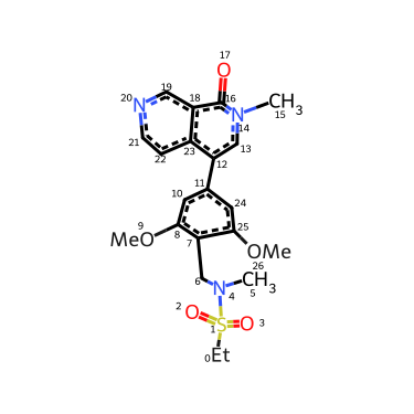 CCS(=O)(=O)N(C)Cc1c(OC)cc(-c2cn(C)c(=O)c3cnccc23)cc1OC